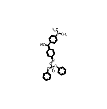 CN(C)c1ccc(C(C#N)=C2C=CC(=NOP(=O)(Oc3ccccc3)Oc3ccccc3)C=C2)cc1